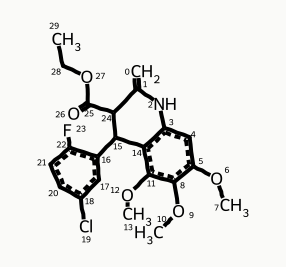 C=C1Nc2cc(OC)c(OC)c(OC)c2C(c2cc(Cl)ccc2F)C1C(=O)OCC